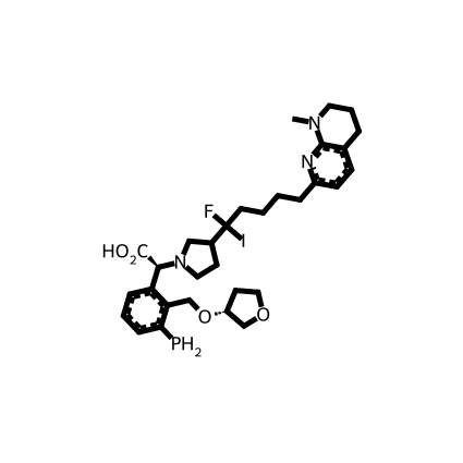 CN1CCCc2ccc(CCCCC(F)(I)C3CCN([C@H](C(=O)O)c4cccc(P)c4CO[C@@H]4CCOC4)C3)nc21